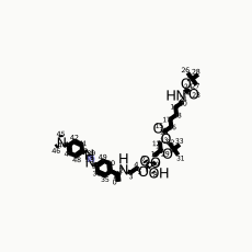 C=C(NCCOP(=O)(O)OCC(COC(=O)CCCCCNC(=O)OC(C)(C)C)OC(C)(C)C)c1ccc(/N=N/c2ccc(N(C)C)cc2)cc1